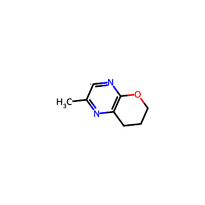 Cc1[c]nc2c(n1)CCCO2